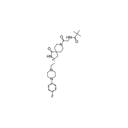 CC(C)(C)C(=O)NCC(=O)N1CCC2(CC1)C[C@H](CCN1CCN(c3ccc(F)cc3)CC1)NC2=O